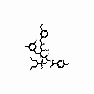 CCCC(CCC)S(=O)(=O)C[C@H](NC(=O)c1ccc(Cl)nc1)C(=O)N[C@@H](Cc1cc(F)cc(F)c1)[C@H](O)CNCc1cccc(CC)c1